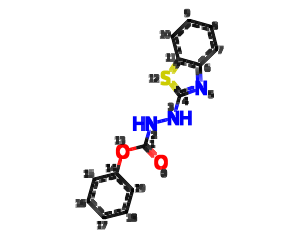 O=C(NNc1nc2ccccc2s1)Oc1ccccc1